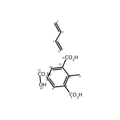 C=CC=C.Cc1c(C(=O)O)cccc1C(=O)O.O=C(O)O